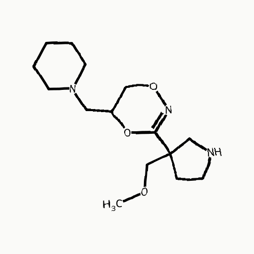 COCC1(C2=NOCC(CN3CCCCC3)O2)CCNC1